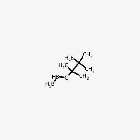 BBOC(C)(C)C(B)(C)C